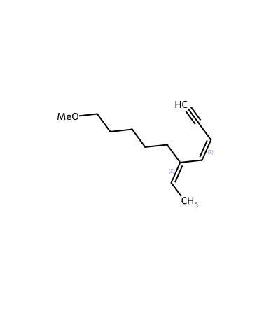 C#C/C=C\C(=C/C)CCCCCOC